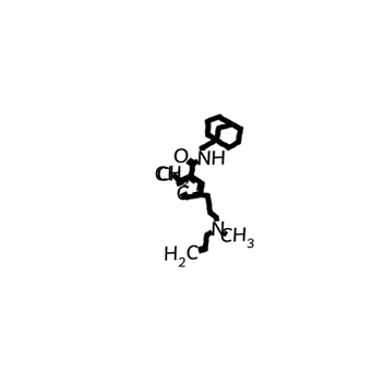 C=CCN(C)CCCc1ccc(Cl)c(C(=O)NCC23CCCC(CCC2)C3)c1.[CH2]